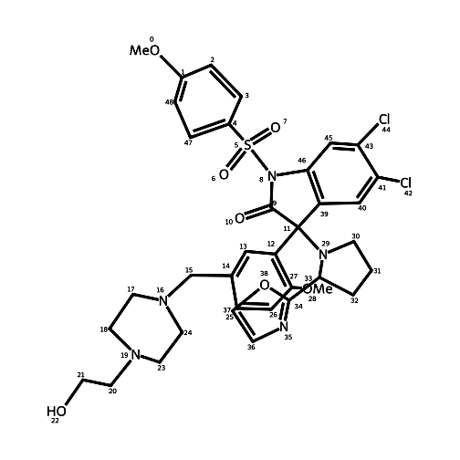 COc1ccc(S(=O)(=O)N2C(=O)C(c3cc(CN4CCN(CCO)CC4)ccc3OC)(N3CCCC3c3ncco3)c3cc(Cl)c(Cl)cc32)cc1